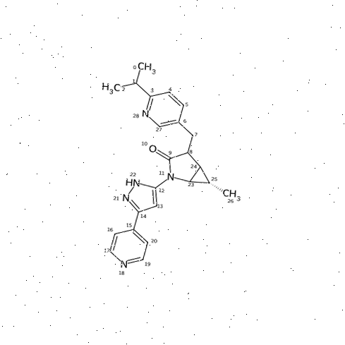 CC(C)c1ccc(CC2C(=O)N(c3cc(-c4ccncc4)n[nH]3)C3C2[C@@H]3C)cn1